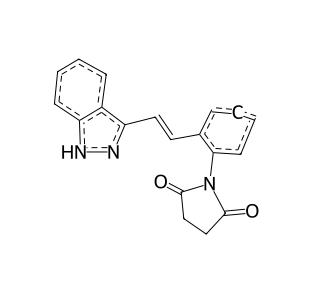 O=C1CCC(=O)N1c1ccccc1/C=C/c1n[nH]c2ccccc12